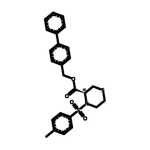 Cc1ccc(S(=O)(=O)N2CCSC[C@H]2C(=O)OCc2ccc(-c3ccccc3)cc2)cc1